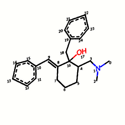 CN(C)CC1CCCC(=Cc2ccccc2)C1(O)Cc1ccccc1